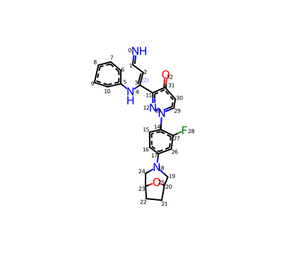 N=C/C=C(\Nc1ccccc1)c1nn(-c2ccc(N3CC4CCC(C3)O4)cc2F)ccc1=O